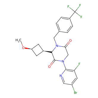 CO[C@H]1C[C@@H](C2C(=O)N(c3ncc(Br)cc3F)CC(=O)N2Cc2ccc(C(F)(F)F)cc2)C1